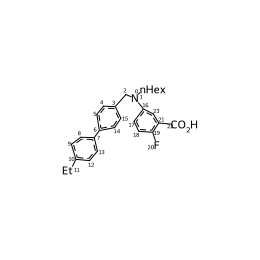 CCCCCCN(Cc1ccc(-c2ccc(CC)cc2)cc1)c1ccc(F)c(C(=O)O)c1